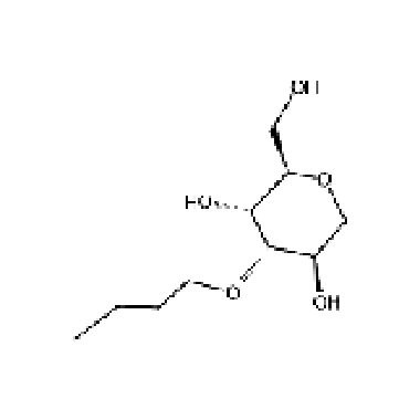 CCCCO[C@@H]1[C@H](O)[C@@H](CO)OC[C@H]1O